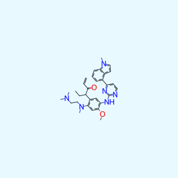 C=CC(=O)C(CC)c1cc(Nc2nccc(-c3cccc4c3ccn4C)n2)c(OC)cc1N(C)CCN(C)C